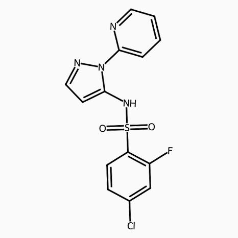 O=S(=O)(Nc1ccnn1-c1ccccn1)c1ccc(Cl)cc1F